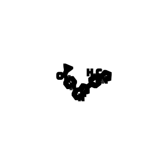 C[C@@]1(c2ccc(-c3cc4c(N5CCN(C(=O)C6CC6)CC5)ccnn4c3)cc2)CCCN1